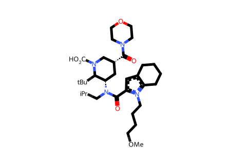 COCCCCn1c(C(=O)N(CC(C)C)[C@H]2C[C@@H](C(=O)N3CCOCC3)CN(C(=O)O)C2C(C)(C)C)cc2c1CCCC2